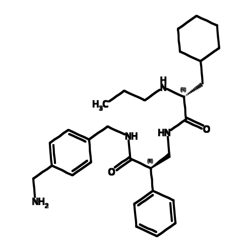 CCCN[C@H](CC1CCCCC1)C(=O)NC[C@H](C(=O)NCc1ccc(CN)cc1)c1ccccc1